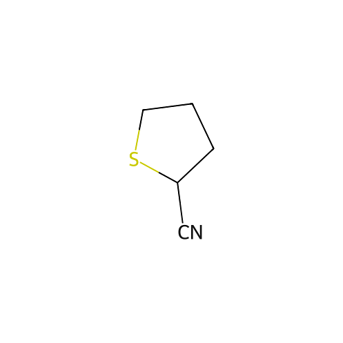 N#CC1CCCS1